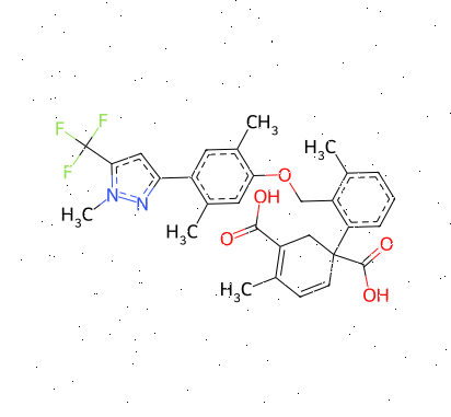 CC1=C(C(=O)O)CC(C(=O)O)(c2cccc(C)c2COc2cc(C)c(-c3cc(C(F)(F)F)n(C)n3)cc2C)C=C1